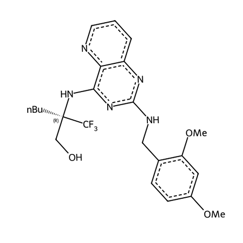 CCCC[C@](CO)(Nc1nc(NCc2ccc(OC)cc2OC)nc2cccnc12)C(F)(F)F